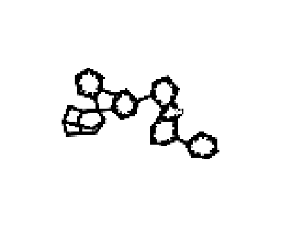 c1ccc(-c2cccc3c2oc2cccc(-c4ccc5c(c4)-c4ccccc4C54C5CC6CC(C5)CC4C6)c23)cc1